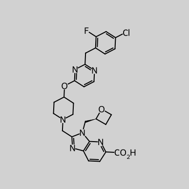 O=C(O)c1ccc2nc(CN3CCC(Oc4ccnc(Cc5ccc(Cl)cc5F)n4)CC3)n(C[C@@H]3CCO3)c2n1